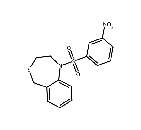 O=[N+]([O-])c1cccc(S(=O)(=O)N2CCSCc3ccccc32)c1